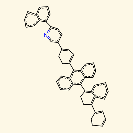 C1=CCCC(C2=c3ccccc3=C(c3c4ccccc4c(C4=CC=C(c5ccc(-c6cccc7ccccc67)nc5)CC4)c4ccccc34)CC2)=C1